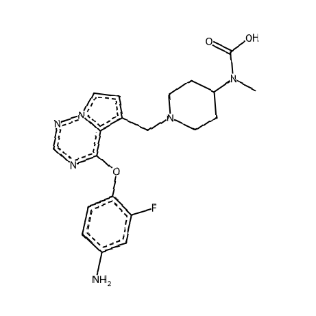 CN(C(=O)O)C1CCN(Cc2ccn3ncnc(Oc4ccc(N)cc4F)c23)CC1